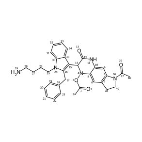 CC(=O)ON1c2cc3c(cc2NC(=O)C1c1c(Cc2ccccc2)n(CCCCN)c2ccccc12)N(C(C)=O)CC3